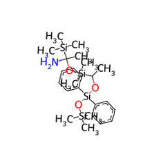 CC(O[Si](O[Si](C)(C)C)(c1ccccc1)c1ccccc1)[Si](C)(C)OC(C)(N)[Si](C)(C)C